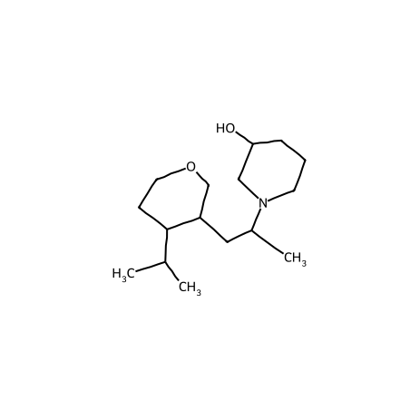 CC(C)C1CCOCC1CC(C)N1CCCC(O)C1